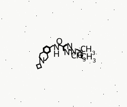 CO[C@@H](C)CN(C)c1ncc(C(=O)NCc2ccc3c(c2)CCN(C2CCC2)CC3)cn1